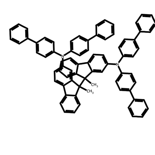 CC1(C2(C)c3ccccc3-c3ccc(N(c4ccc(-c5ccccc5)cc4)c4ccc(-c5ccccc5)cc4)cc32)c2ccccc2-c2ccc(N(c3ccc(-c4ccccc4)cc3)c3ccc(-c4ccccc4)cc3)cc21